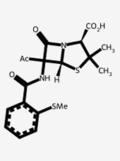 CSc1ccccc1C(=O)NC1(C(C)=O)C(=O)N2[C@@H](C(=O)O)C(C)(C)S[C@@H]21